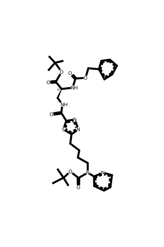 CC(C)(C)OC(=O)[C@H](CNC(=O)c1nnc(CCCCN(C(=O)OC(C)(C)C)c2ccccn2)s1)NC(=O)OCc1ccccc1